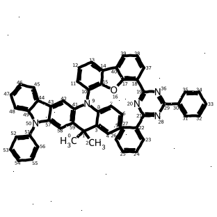 CC1(C)c2ccccc2N(c2cccc3c2oc2c(-c4nc(-c5ccccc5)nc(-c5ccccc5)n4)cccc23)c2cc3c4ccccc4n(-c4ccccc4)c3cc21